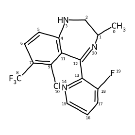 CC1CNc2ccc(C(F)(F)F)c(Cl)c2C(c2ncccc2F)=N1